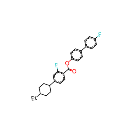 CCC1CCC(c2ccc(C(=O)Oc3ccc(-c4ccc(F)cc4)cc3)c(F)c2)CC1